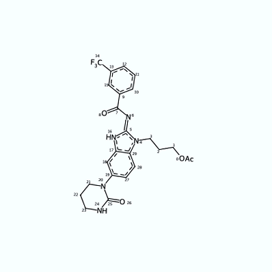 CC(=O)OCCCn1/c(=N/C(=O)c2cccc(C(F)(F)F)c2)[nH]c2cc(N3CCCNC3=O)ccc21